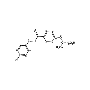 CCc1ccc(/C=C/C(=O)c2ccc(O[C@@H](C)C(=O)O)cc2)cc1